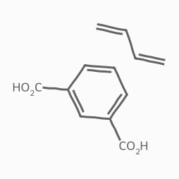 C=CC=C.O=C(O)c1cccc(C(=O)O)c1